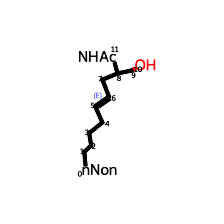 CCCCCCCCCCCCC/C=C/CC(CO)NC(C)=O